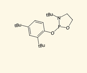 CC(C)(C)c1ccc(OP2OCCN2C(C)(C)C)c(C(C)(C)C)c1